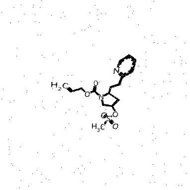 C=CCOC(=O)N1CC(OS(C)(=O)=O)CC1CCc1ccccn1